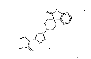 CCN(C(=O)O)[C@H]1CCN(C2CCC3(CC2)C(=O)Nc2ccccc23)C1